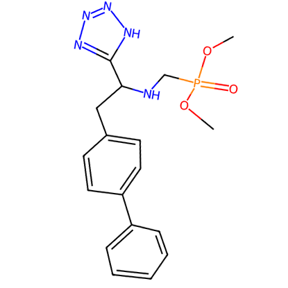 COP(=O)(CNC(Cc1ccc(-c2ccccc2)cc1)c1nnn[nH]1)OC